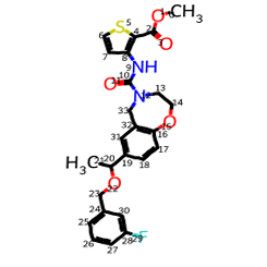 COC(=O)c1sccc1NC(=O)N1CCOc2ccc(C(C)OCc3cccc(F)c3)cc2C1